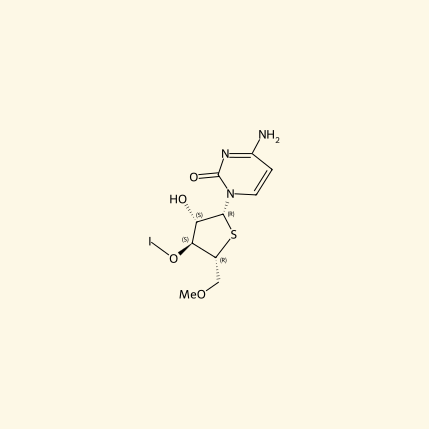 COC[C@H]1S[C@@H](n2ccc(N)nc2=O)[C@@H](O)[C@@H]1OI